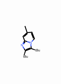 Cc1ccn2c(C(C)(C)C)c(C(C)(C)C)nc2c1